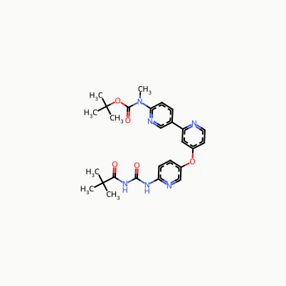 CN(C(=O)OC(C)(C)C)c1ccc(-c2cc(Oc3ccc(NC(=O)NC(=O)C(C)(C)C)nc3)ccn2)cn1